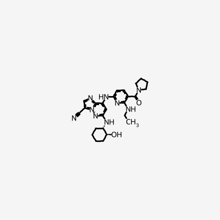 CCNc1nc(Nc2cc(N[C@H]3CCCC[C@@H]3O)nn3c(C#N)cnc23)ccc1C(=O)N1CCCC1